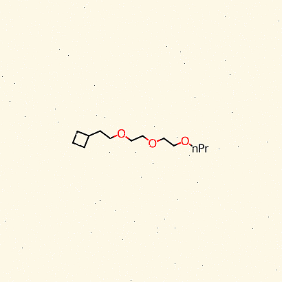 CCCOCCOCCOCCC1CCC1